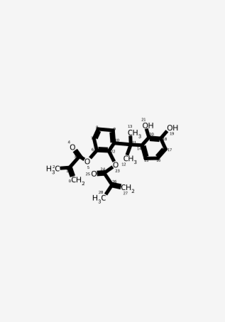 C=C(C)C(=O)Oc1cccc(C(C)(C)c2cccc(O)c2O)c1OC(=O)C(=C)C